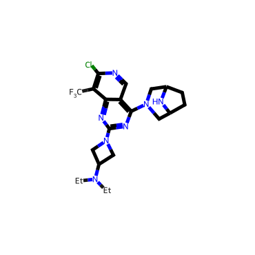 CCN(CC)C1CN(c2nc(N3CC4CCC(C3)N4)c3cnc(Cl)c(C(F)(F)F)c3n2)C1